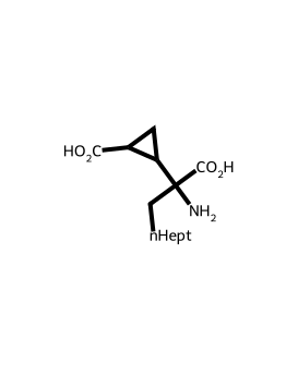 CCCCCCCCC(N)(C(=O)O)C1CC1C(=O)O